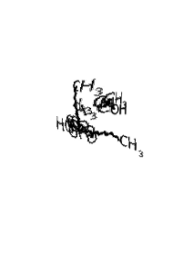 CCCCCCCCCC(=O)OC[C@H](COP(=O)(O)O)OC(=O)CCCCCCCCC.C[N+](C)(C)CCO